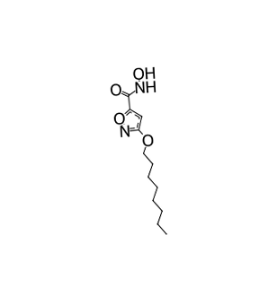 CCCCCCCCOc1cc(C(=O)NO)on1